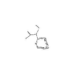 CCC(c1ccccn1)C(C)I